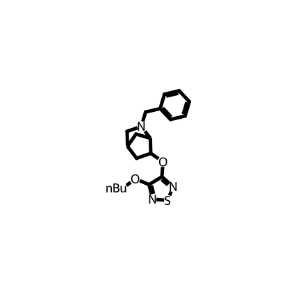 CCCCOc1nsnc1OC1CC2CC1N(Cc1ccccc1)C2